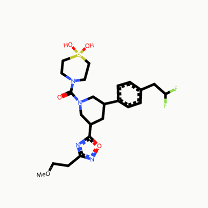 COCCc1noc(C2CC(c3ccc(CC(F)F)cc3)CN(C(=O)N3CCS(O)(O)CC3)C2)n1